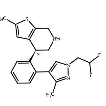 N#Cc1cc2c(s1)CNC[C@H]2c1ccccc1-c1cn(CC(F)F)nc1C(F)(F)F